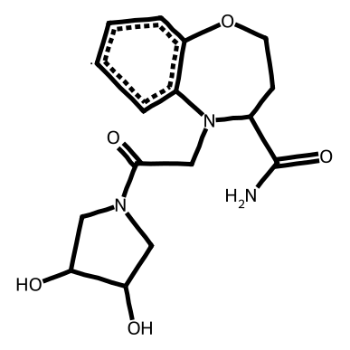 NC(=O)C1CCOc2cc[c]cc2N1CC(=O)N1CC(O)C(O)C1